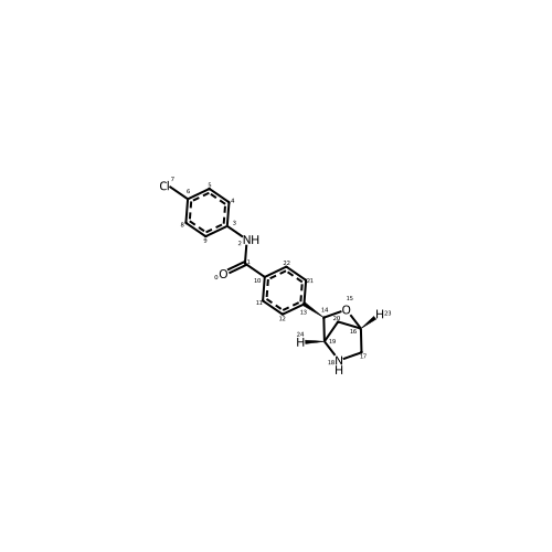 O=C(Nc1ccc(Cl)cc1)c1ccc([C@H]2O[C@@H]3CN[C@H]2C3)cc1